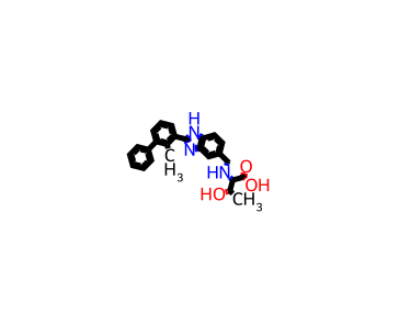 Cc1c(-c2ccccc2)cccc1-c1nc2cc(CNC(C(=O)O)C(C)O)ccc2[nH]1